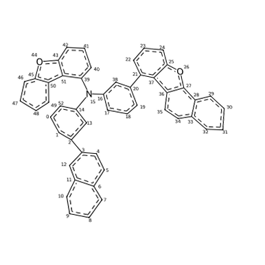 c1cc(-c2ccc3ccccc3c2)cc(N(c2cccc(-c3cccc4oc5c6ccccc6ccc5c34)c2)c2cccc3oc4ccccc4c23)c1